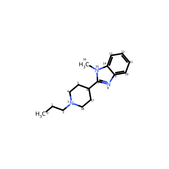 CCCN1CCC(c2nc3ccccc3n2C)CC1